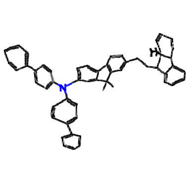 CC1(C)c2cc(CCC3c4ccccc4C4C=CC=C[C@H]43)ccc2-c2ccc(N(c3ccc(-c4ccccc4)cc3)c3ccc(-c4ccccc4)cc3)cc21